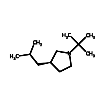 CC(C)C[C@@H]1CCN(C(C)(C)C)C1